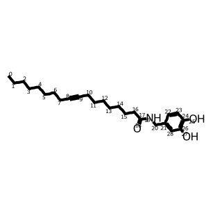 CCCCCCCCC#CCCCCCCCC(=O)NCc1ccc(O)c(O)c1